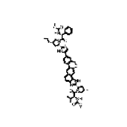 CCC[C@H]1C[C@@H](c2ncc(-c3ccc4c(c3)COc3cc5c(ccc6nc([C@@H]7C[C@H](C)CN7C(=O)[C@@H](NC(=O)OC)C(C)C)[nH]c65)cc3-4)[nH]2)N(C(=O)[C@H](NC(=O)OC)c2ccccc2)C1